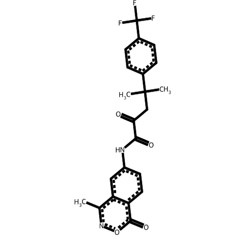 Cc1noc(=O)c2ccc(NC(=O)C(=O)CC(C)(C)c3ccc(C(F)(F)F)cc3)cc12